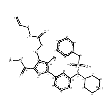 C=CCOC(=O)COc1c(C(=O)OC(C)C)sc(-c2cccc(N(C3CCNCC3)S(=O)(=O)Cc3ccccc3)c2)c1Br